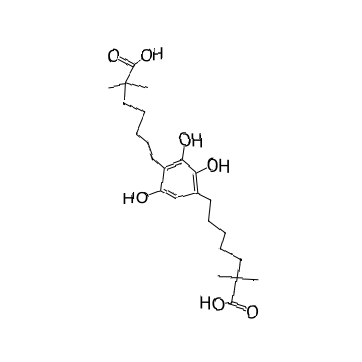 CC(C)(CCCCCc1cc(O)c(CCCCCC(C)(C)C(=O)O)c(O)c1O)C(=O)O